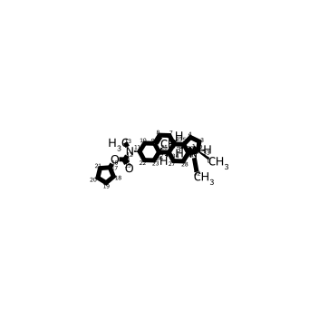 C[C@H]1[C@H]2CC[C@H]3[C@@H]4CC=C5C[C@@H](N(C)C(=O)OC6CCCC6)CC[C@]5(C)[C@H]4CCC23CN1C